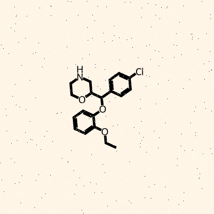 CCOc1ccccc1OC(c1ccc(Cl)cc1)C1CNCCO1